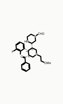 COCCN1C[C@H](C(=O)c2ccccc2)[C@H](c2cccc(F)c2C)[C@H](C2CN(C=O)CCN2)C1